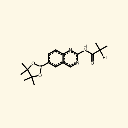 CCC(C)(C)C(=O)Nc1ncc2cc(B3OC(C)(C)C(C)(C)O3)ccc2n1